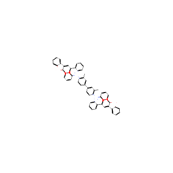 Cc1cc(-c2ccc(N(c3ccccc3)c3ccccc3-c3ccc4oc5ccccc5c4c3)c(C)c2)ccc1N(c1ccccc1)c1ccccc1-c1ccc2oc3ccccc3c2c1